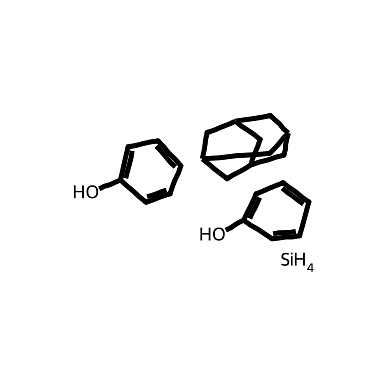 C1C2CC3CC1CC(C2)C3.Oc1ccccc1.Oc1ccccc1.[SiH4]